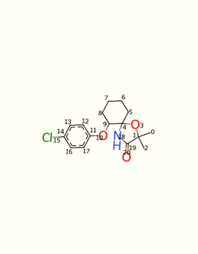 CC1(C)OC2(CCCCC2Oc2ccc(Cl)cc2)NC1=O